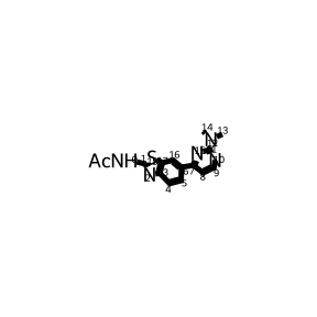 CC(=O)Nc1nc2ccc(-c3ccnc(N(C)C)n3)cc2s1